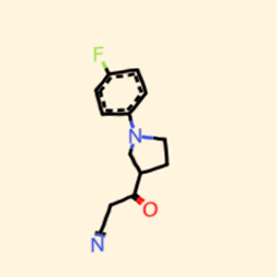 N#CCC(=O)C1CCN(c2ccc(F)cc2)C1